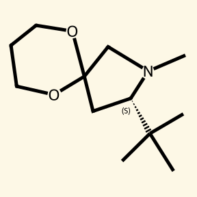 CN1CC2(C[C@H]1C(C)(C)C)OCCCO2